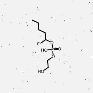 CCCCC(Cl)OP(=O)(O)OCCO